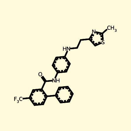 Cc1nc(CCNc2ccc(NC(=O)c3cc(C(F)(F)F)ccc3-c3ccccc3)cc2)cs1